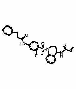 C=CC(=O)NC1CCN(S(=O)(=O)c2ccc(NC(=O)CCc3ccccc3)cc2Cl)c2ccccc21